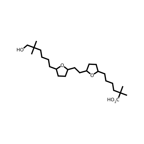 CC(C)(CO)CCCCC1CCC(CCC2CCC(CCCCC(C)(C)C(=O)O)O2)O1